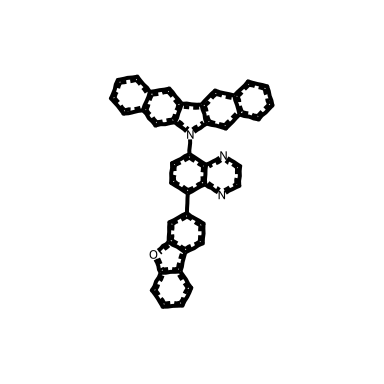 c1ccc2cc3c(cc2c1)c1cc2ccccc2cc1n3-c1ccc(-c2ccc3c(c2)oc2ccccc23)c2nccnc12